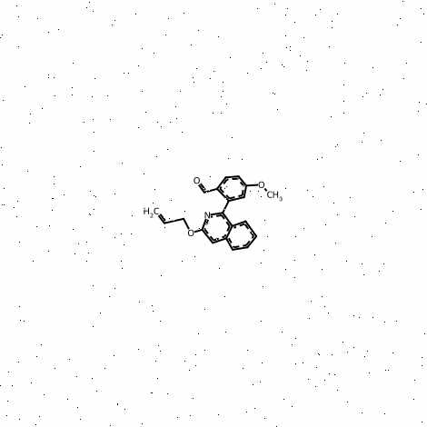 C=CCOc1cc2ccccc2c(-c2cc(OC)ccc2C=O)n1